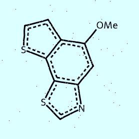 COc1cc2ncsc2c2sccc12